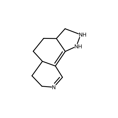 C1=NCCC2CCC3CNNC3=C12